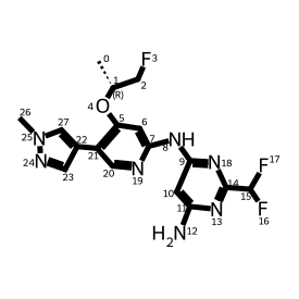 C[C@H](CF)Oc1cc(Nc2cc(N)nc(C(F)F)n2)ncc1-c1cnn(C)c1